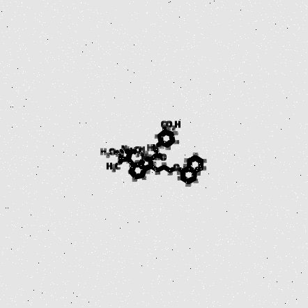 Cc1nn(C)c(C)c1-c1cccc2c(CCCOc3cccc4ccccc34)c(C(=O)Nc3cccc(C(=O)O)c3)n(C)c12